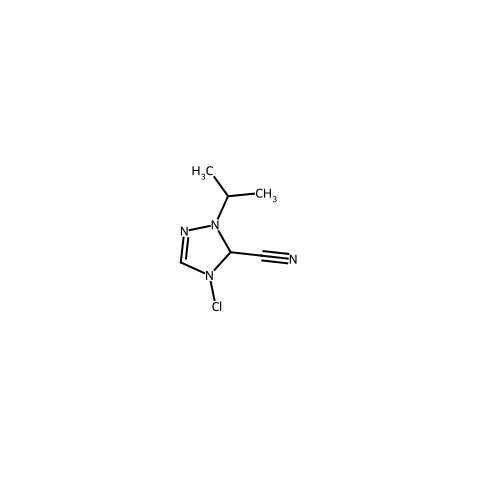 CC(C)N1N=CN(Cl)C1C#N